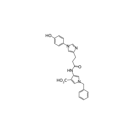 O=C(CCc1cn(-c2ccc(O)cc2)cn1)Nc1cn(Cc2ccccc2)cc1C(=O)O